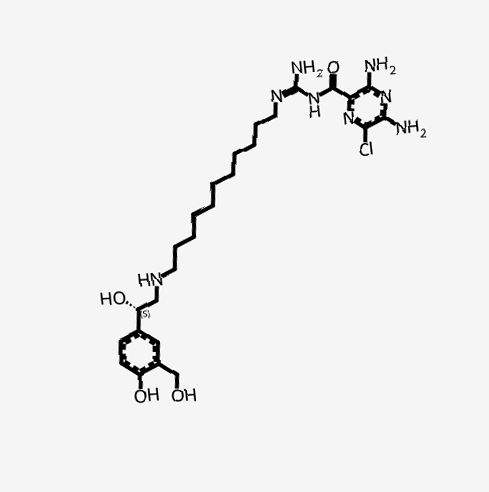 NC(=NCCCCCCCCCCCNC[C@@H](O)c1ccc(O)c(CO)c1)NC(=O)c1nc(Cl)c(N)nc1N